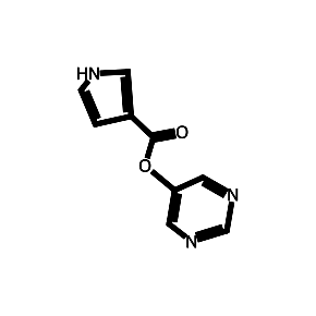 O=C(Oc1cncnc1)c1cc[nH]c1